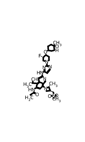 C=CC(=O)Nc1cc(N2C[C@H](CS(C)(=O)=O)[C@H]2C)c2cnc(Nc3ccnc(N4CC[C@@H](OC5CCC(C)(O)CC5)[C@@H](F)C4)n3)cc2c1C(C)C